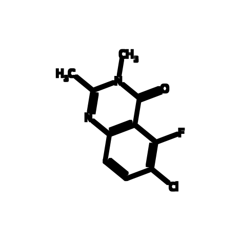 Cc1nc2ccc(Cl)c(F)c2c(=O)n1C